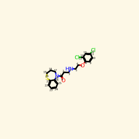 O=C(CCNCCOc1ccc(Cl)cc1Cl)N1CCCSc2ccccc21